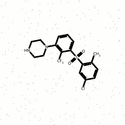 Cc1ccc(Cl)cc1S(=O)(=O)c1cccc(N2CCNCC2)c1C(F)(F)F